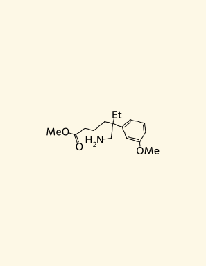 CCC(CN)(CCCC(=O)OC)c1cccc(OC)c1